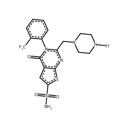 CCN1CCN(Cc2nc3sc(S(N)(=O)=O)cc3c(=O)n2-c2ccccc2C(F)(F)F)CC1